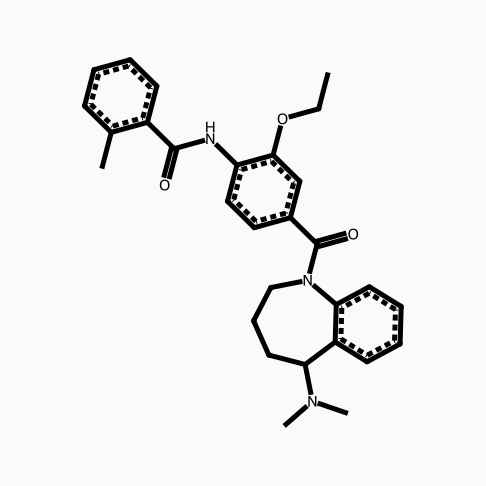 CCOc1cc(C(=O)N2CCCC(N(C)C)c3ccccc32)ccc1NC(=O)c1ccccc1C